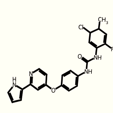 CC1C=C(F)C(NC(=O)Nc2ccc(Oc3ccnc(-c4ccc[nH]4)c3)cc2)=CC1Cl